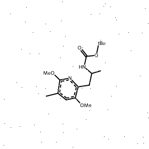 COc1cc(C)c(OC)nc1CC(C)NC(=O)OC(C)(C)C